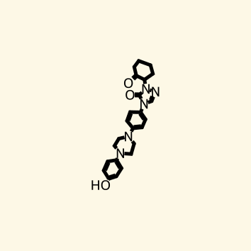 O=C1CCCCC1n1ncn(-c2ccc(N3CCN(c4ccc(O)cc4)CC3)cc2)c1=O